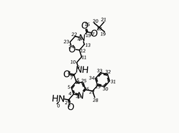 CNC(=O)c1cc(C(=O)NCCC2CN(C(=O)OC(C)(C)C)CCO2)cc(C(C)c2ccccc2)n1